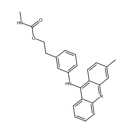 CNC(=O)OCCc1cccc(Nc2c3ccccc3nc3cc(C)ccc23)c1